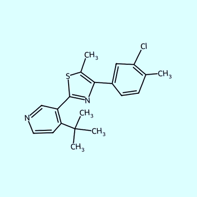 Cc1ccc(-c2nc(-c3cnccc3C(C)(C)C)sc2C)cc1Cl